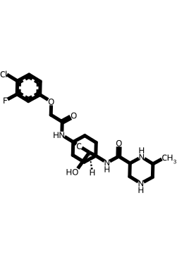 CC1CNCC(C(=O)NC23CCC(NC(=O)COc4ccc(Cl)c(F)c4)(CC2)C[C@@H]3O)N1